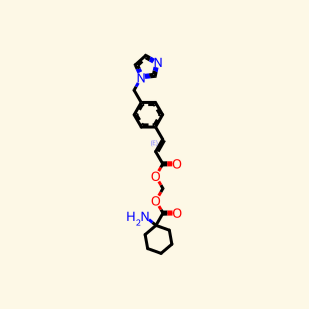 NC1(C(=O)OCOC(=O)/C=C/c2ccc(Cn3ccnc3)cc2)CCCCC1